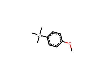 COc1cc[c]([Sn]([CH3])([CH3])[CH3])cc1